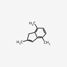 CC1=Cc2c(C)ccc(C)c2[C]1